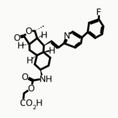 C[C@H]1OC(=O)[C@@H]2C[C@@H]3C[C@H](NC(=O)OCC(=O)O)CC[C@H]3[C@H](C=Cc3ccc(-c4cccc(F)c4)cn3)[C@H]12